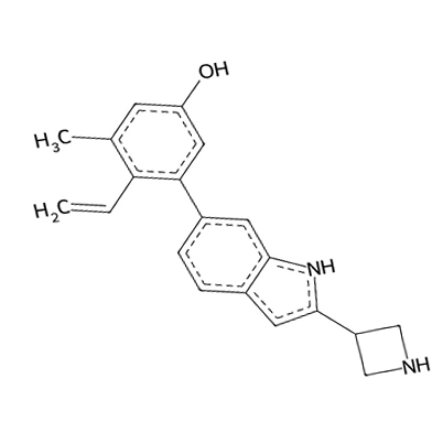 C=Cc1c(C)cc(O)cc1-c1ccc2cc(C3CNC3)[nH]c2c1